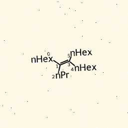 CCCCCCC(CCC)=C(CCCCCC)CCCCCC